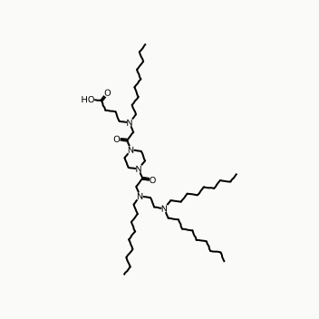 CCCCCCCCCN(CCCCCCCCC)CCN(CCCCCCCCC)CC(=O)N1CCN(C(=O)CN(CCCCCCCCC)CCCC(=O)O)CC1